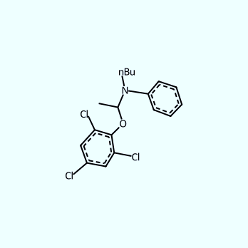 CCCCN(c1ccccc1)C(C)Oc1c(Cl)cc(Cl)cc1Cl